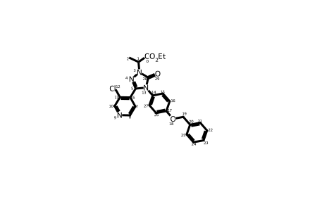 CCOC(=O)C(C)n1nc(-c2ccncc2Cl)n(-c2ccc(OCc3ccccc3)cc2)c1=O